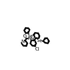 O=C(Nc1ccc(Cl)cc1-c1c([Se]c2ccccc2)cccc1[Se]c1ccccc1)c1ccccn1